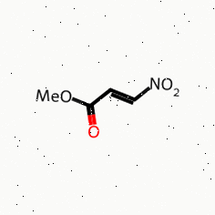 COC(=O)/C=C/[N+](=O)[O-]